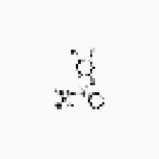 [2H]C([2H])([2H])NC[C@@]1(c2ccccc2)Cc2cc(Cl)c(F)cc2O1